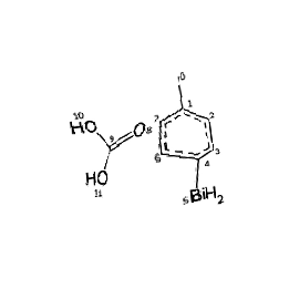 Cc1cc[c]([BiH2])cc1.O=C(O)O